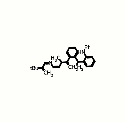 C=C(c1ccccc1C(C)c1ccccc1NCC)C(C)/C=C\N=C/C(=C)C(C)(C)C